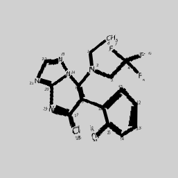 CCN(CC(F)(F)F)c1c(-c2ccccc2Cl)c(Cl)nc2ncnn12